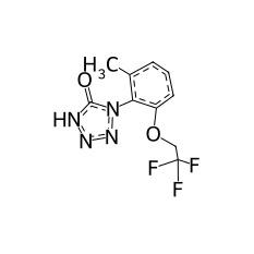 Cc1cccc(OCC(F)(F)F)c1-n1nn[nH]c1=O